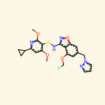 COc1cc(C2CC2)nc(OC)c1SNc1noc2cc(Cn3cccn3)cc(OCF)c12